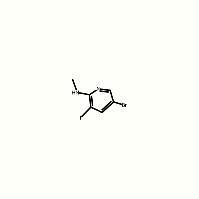 CNc1ncc(Br)cc1I